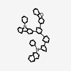 c1ccc(N(c2cccc(-c3cccc(-c4cc(-c5ccc6oc7ccccc7c6c5)cc(-c5ccc6c7ccccc7n(-c7ccccc7)c6c5)c4)c3)c2)c2ccc3ccccc3c2)cc1